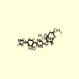 C[C@H]1CC2N[C@@](C)(C1)C[C@H](Oc1cnc(-c3ccc(-n4ccnc4)cc3O)nn1)[C@H]2F